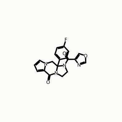 O=C(c1cocn1)N1CCN2C(=O)c3cccn3CC12c1ccc(F)cc1